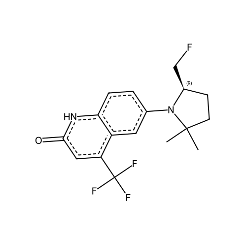 CC1(C)CC[C@H](CF)N1c1ccc2[nH]c(=O)cc(C(F)(F)F)c2c1